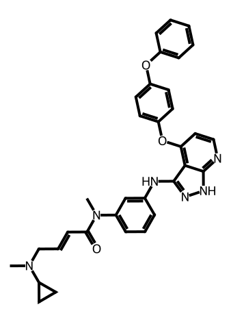 CN(C(=O)C=CCN(C)C1CC1)c1cccc(Nc2n[nH]c3nccc(Oc4ccc(Oc5ccccc5)cc4)c23)c1